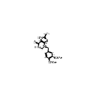 COc1ccc(CN2CNC(=O)c3[nH]c(C(C)C)nc32)cc1OC